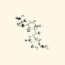 [C-]#[N+]c1cnc2[nH]cc(C(=O)c3c(F)ccc(NS(=O)(=O)N(C)C)c3F)c2c1